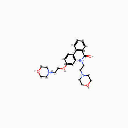 O=C(NCCN1CCOCC1)c1[c]cccc1-c1ccc(OCCN2CCOCC2)cc1